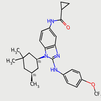 C[C@@H]1C[C@H](n2c(Nc3ccc(OC(F)(F)F)cc3)nc3cc(NC(=O)C4CC4)ccc32)CC(C)(C)C1